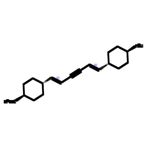 CCCCC[C@H]1CC[C@H](/C=C/C#C/C=C/[C@H]2CC[C@H](CCCC)CC2)CC1